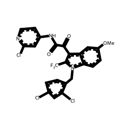 COc1ccc2c(c1)c(C(=O)C(=O)Nc1ccnc(Cl)c1)c(C(F)(F)F)n2Cc1ccc(Cl)cc1Cl